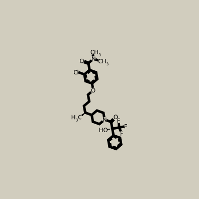 C[C@@H](CCCOc1ccc(C(=O)N(C)C)c(Cl)c1)C1CCN(C(=O)[C@](O)(c2ccccc2)C(F)(F)F)CC1